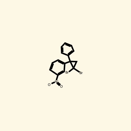 O=[N+]([O-])c1cccc(C2(c3ccccc3)CC2(Br)Br)c1